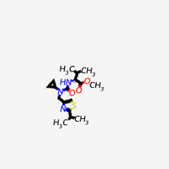 COC(=O)[C@@H](NC(=O)N(Cc1csc(C(C)C)n1)C1CC1)C(C)C